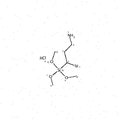 Cl.[2H]C(CCN)[Si](OC)(OC)OC